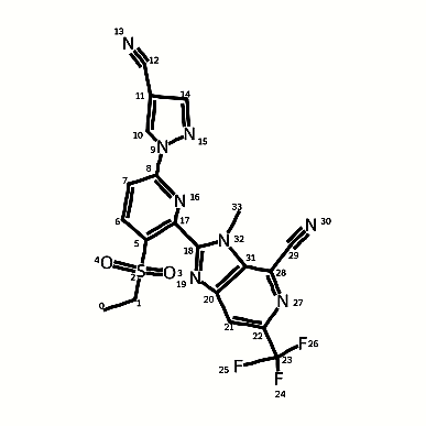 CCS(=O)(=O)c1ccc(-n2cc(C#N)cn2)nc1-c1nc2cc(C(F)(F)F)nc(C#N)c2n1C